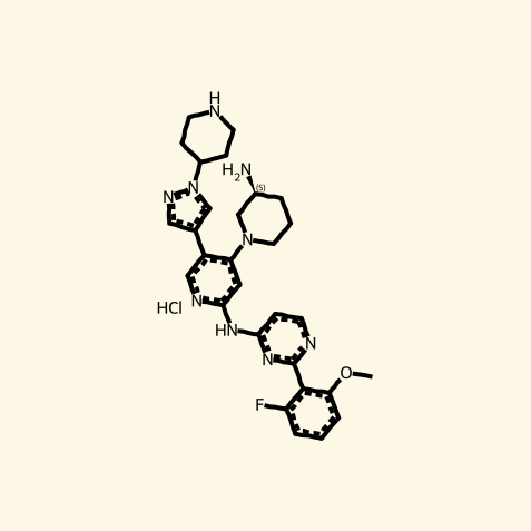 COc1cccc(F)c1-c1nccc(Nc2cc(N3CCC[C@H](N)C3)c(-c3cnn(C4CCNCC4)c3)cn2)n1.Cl